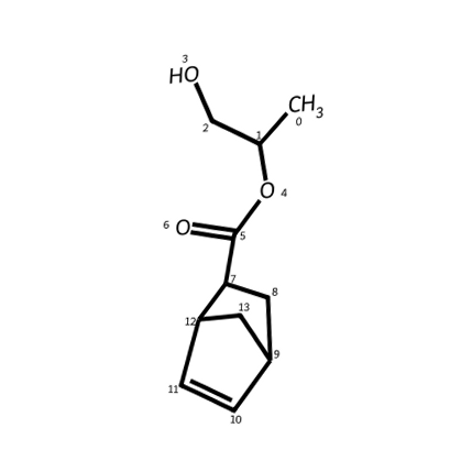 CC(CO)OC(=O)C1CC2C=CC1C2